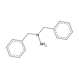 NN(Cc1ccccc1)Cc1ccccc1